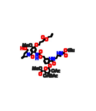 C=CCOC(=O)CCCOc1cc(NC(=O)OCc2ccc(O[C@@H]3O[C@H](C(=O)OC)[C@@H](OC(C)=O)[C@H](OC(C)=O)[C@H]3OC(C)=O)c(C(=O)NCCCNC(=O)OC(C)(C)C)c2)c(C(=O)N2CC(=C)C[C@H]2CO)cc1OC